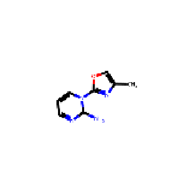 Cc1coc(N2C=CC=NC2N)n1